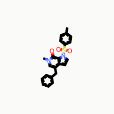 Cc1ccc(S(=O)(=O)n2ccc3c(Cc4ccccc4)cn(C)c(=O)c32)cc1